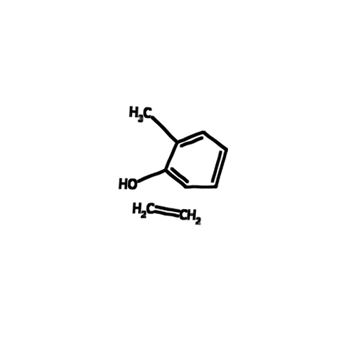 C=C.Cc1ccccc1O